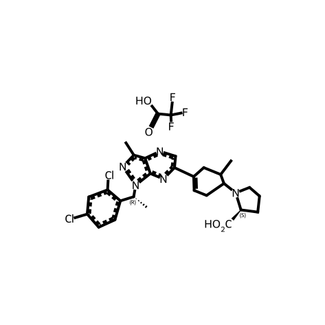 Cc1nn([C@H](C)c2ccc(Cl)cc2Cl)c2nc(C3=CCC(N4CCC[C@H]4C(=O)O)C(C)C3)cnc12.O=C(O)C(F)(F)F